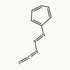 S=C=NN=Nc1ccccc1